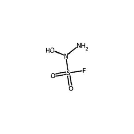 NN(O)S(=O)(=O)F